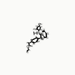 CCO/C(C)=C(\C)c1ccc(-c2nc3ccccn3c2Nc2ccc(OC)cc2)cc1